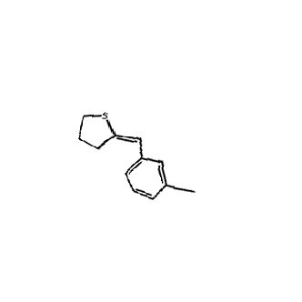 Cc1cccc(/C=C2\CCCS2)c1